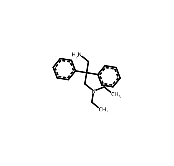 CCN(CC)CC(CN)(c1ccccc1)c1ccccc1